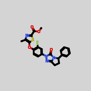 COC(=O)c1nc(C)c(Oc2ccc(-n3nc4n(c3=O)C(c3ccccc3)CC4)cc2F)s1